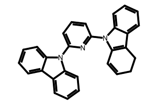 C1=Cc2c(c3ccccc3n2-c2cccc(-n3c4ccccc4c4ccccc43)n2)CC1